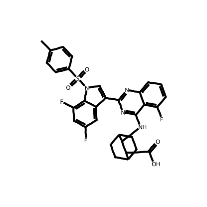 Cc1ccc(S(=O)(=O)n2cc(-c3nc(NC4C5CCC(CC5)C4C(=O)O)c4c(F)cccc4n3)c3cc(F)cc(F)c32)cc1